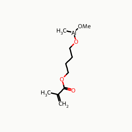 C=C(C)C(=O)OCCCC[O][Al]([CH3])[O]C